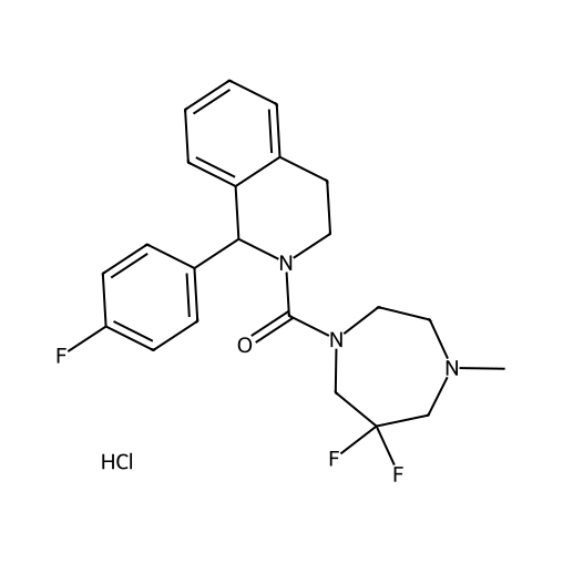 CN1CCN(C(=O)N2CCc3ccccc3C2c2ccc(F)cc2)CC(F)(F)C1.Cl